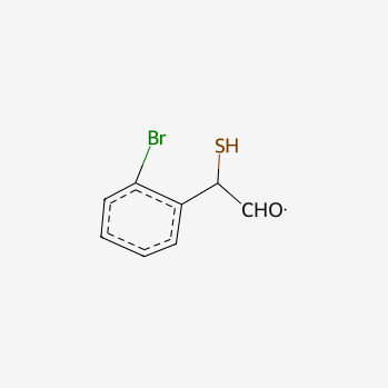 O=[C]C(S)c1ccccc1Br